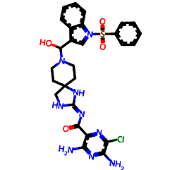 Nc1nc(N)c(C(=O)/N=C2\NCC3(CCN(C(O)c4cn(S(=O)(=O)c5ccccc5)c5ccccc45)CC3)N2)nc1Cl